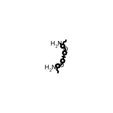 CCCc1cc(Oc2ccc(C(C)(C)c3ccc(Oc4ccc(N)c(CCC)c4)cc3)cc2)ccc1N